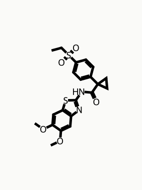 CCS(=O)(=O)c1ccc(C2(C(=O)Nc3nc4cc(OC)c(OC)cc4s3)CC2)cc1